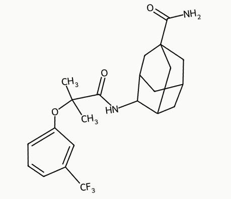 CC(C)(Oc1cccc(C(F)(F)F)c1)C(=O)NC1C2CC3CC1CC(C(N)=O)(C3)C2